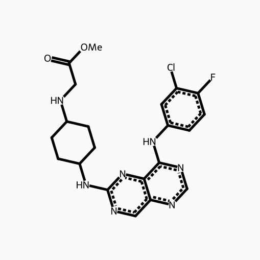 COC(=O)CNC1CCC(Nc2ncc3ncnc(Nc4ccc(F)c(Cl)c4)c3n2)CC1